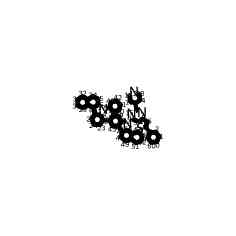 c1ccc(-c2cc3nc(-c4ccncc4)nc(-n4c5ccc(-c6cccc7c8c9ccccc9ccc8n(-c8ccccc8)c67)cc5c5ccc6ccccc6c54)c3s2)cc1